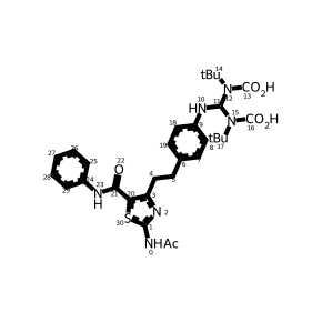 CC(=O)Nc1nc(CCc2ccc(NC(N(C(=O)O)C(C)(C)C)N(C(=O)O)C(C)(C)C)cc2)c(C(=O)Nc2ccccc2)s1